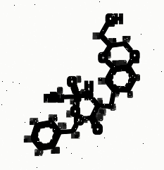 CCCCS(=O)(=O)N[C@@H](Cc1ccc2c(c1)OC(CO)CO2)C(=O)OCc1ccccc1